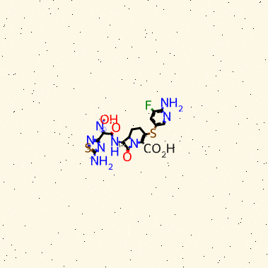 Nc1nc(/C(=N/O)C(=O)N[C@@H]2C(=O)N3C(C(=O)O)=C(Sc4cnc(N)c(F)c4)CCC23)ns1